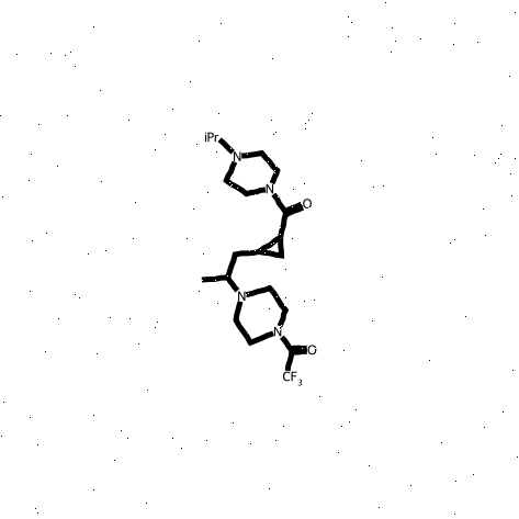 CC(C)N1CCN(C(=O)C2CC2CC(C)N2CCN(C(=O)C(F)(F)F)CC2)CC1